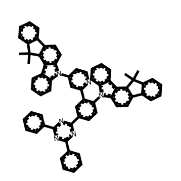 CC1(C)c2ccccc2-c2ccc3c(c21)c1ccccc1n3-c1ccnc(-c2cc(-c3nc(-c4ccccc4)nc(-c4ccccc4)n3)ccc2-n2c3ccccc3c3c4c(ccc32)-c2ccccc2C4(C)C)c1